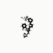 CS(=O)(=O)c1cccc(-c2ccc(-c3cc(CN4CCSC4)nn3-c3ccccc3Cl)s2)c1